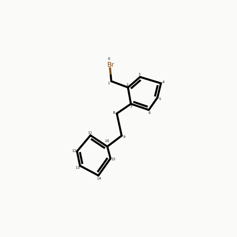 BrCc1ccccc1CCc1ccccc1